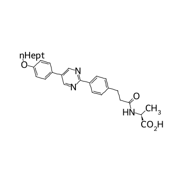 CCCCCCCOc1ccc(-c2cnc(-c3ccc(CCC(=O)N[C@@H](C)C(=O)O)cc3)nc2)cc1